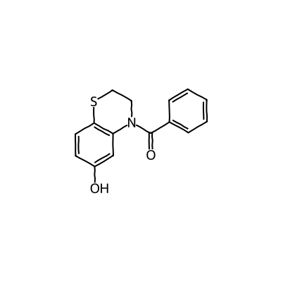 O=C(c1ccccc1)N1CCSc2ccc(O)cc21